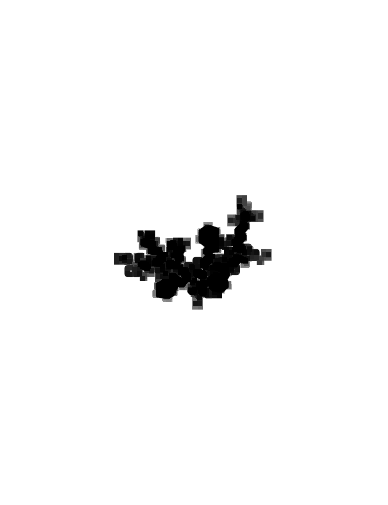 N=C(N)NCCC[C@@H](N)C(=O)N[C@@H](CC(=O)O)C(=O)N[C@@H](Cc1ccc(O)cc1)C(=O)N[C@@H](Cc1c[nH]c2ccccc12)C(=O)N[C@H](Cc1c[nH]cn1)C(=O)N[C@@H](Cc1c[nH]c2ccccc12)C(=O)N[C@@H](Cc1c[nH]cn1)C(=O)N[C@H](CCCCN)C(=O)N[C@@H](CC(=O)O)C(=O)O